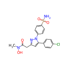 CN(O)C(=O)Cc1cc(-c2ccc(Cl)cc2)n(-c2ccc(S(N)(=O)=O)cc2)n1